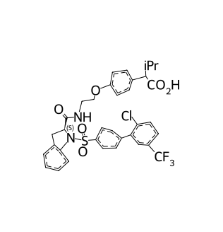 CC(C)C(C(=O)O)c1ccc(OCCNC(=O)[C@@H]2Cc3ccccc3N2S(=O)(=O)c2ccc(-c3cc(C(F)(F)F)ccc3Cl)cc2)cc1